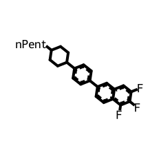 CCCCCC1CCC(c2ccc(-c3ccc4c(F)c(F)c(F)cc4c3)cc2)CC1